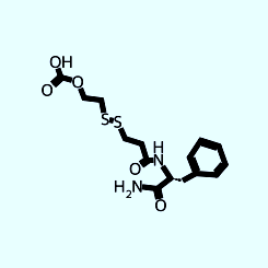 NC(=O)[C@@H](Cc1ccccc1)NC(=O)CCSSCCOC(=O)O